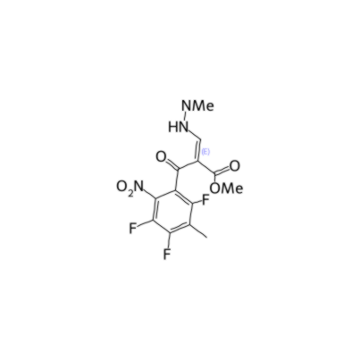 CNN/C=C(/C(=O)OC)C(=O)c1c(F)c(C)c(F)c(F)c1[N+](=O)[O-]